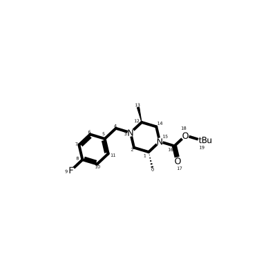 C[C@@H]1CN(Cc2ccc(F)cc2)[C@@H](C)CN1C(=O)OC(C)(C)C